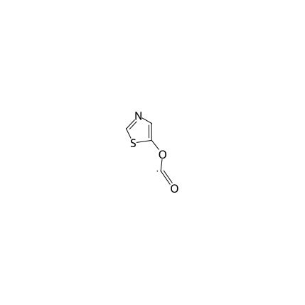 O=[C]Oc1cncs1